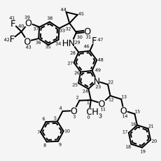 CC1(COCc2ccccc2)OC(COCc2ccccc2)Cn2c1cc1cc(NC(=O)C3(c4ccc5c(c4)OC(F)(F)O5)CC3)c(F)cc12